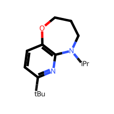 CC(C)N1CCCOc2ccc(C(C)(C)C)nc21